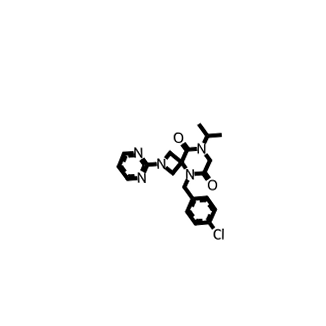 CC(C)N1CC(=O)N(Cc2ccc(Cl)cc2)C2(CN(c3ncccn3)C2)C1=O